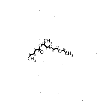 CCCCC(=O)OC(C)COCCOCC